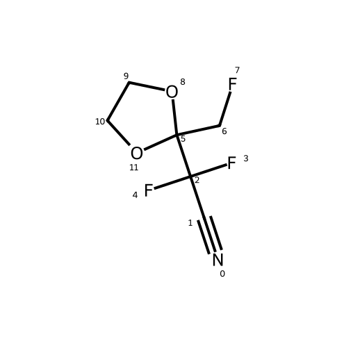 N#CC(F)(F)C1(CF)OCCO1